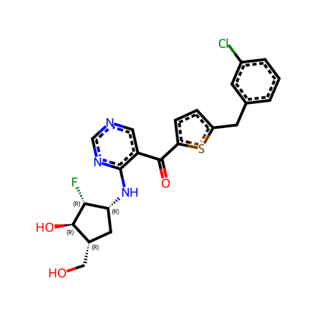 O=C(c1ccc(Cc2cccc(Cl)c2)s1)c1cncnc1N[C@@H]1C[C@H](CO)[C@@H](O)[C@@H]1F